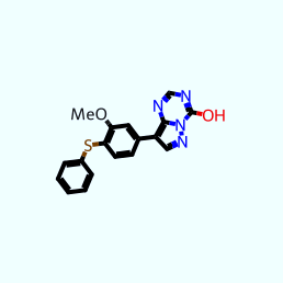 COc1cc(-c2cnn3c(O)ncnc23)ccc1Sc1ccccc1